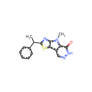 CC(c1ccccc1)c1nc2c(s1)c1cn[nH]c(=O)c1n2C